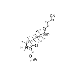 CCCOCOC(=O)C(C)(C(C)N)C(C)(C)C(C)(C)C(C)(C(=O)OCCCC#N)C(C)C